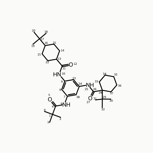 CC(C)(C)C(=O)Nc1cc(NC(=O)C2CCC(C(C)(C)C)CC2)cc(NC(=O)C2(C(C)(C)C)CCCCC2)c1